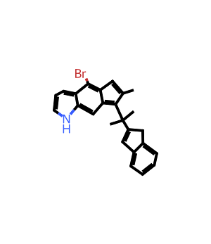 Cc1cc2c(Br)c3ccc[nH]c3cc2c1C(C)(C)C1=Cc2ccccc2C1